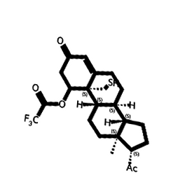 CC(=O)[C@H]1CC[C@H]2[C@@H]3CCC4=CC(=O)CC(OC(=O)C(F)(F)F)[C@]4(CS)[C@H]3CC[C@]12C